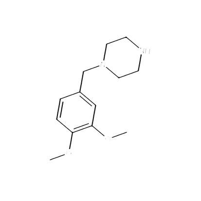 COc1ccc(CN2CCNCC2)cc1OC